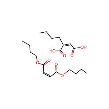 CCCC/C(=C/C(=O)O)C(=O)O.CCCCOC(=O)/C=C\C(=O)OCCCC